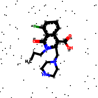 CCCn1c(CN2CCNCC2)c(C(=O)O)c2cccc(F)c2c1=O